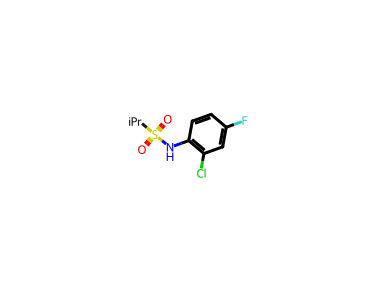 CC(C)S(=O)(=O)Nc1ccc(F)cc1Cl